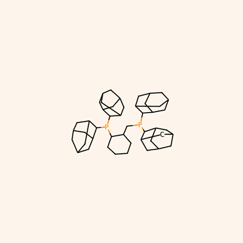 C1CCC(P(C2C3CC4CC(C3)CC2C4)C2C3CC4CC(C3)CC2C4)C(CP(C2C3CC4CC(C3)CC2C4)C2C3CC4CC(C3)CC2C4)C1